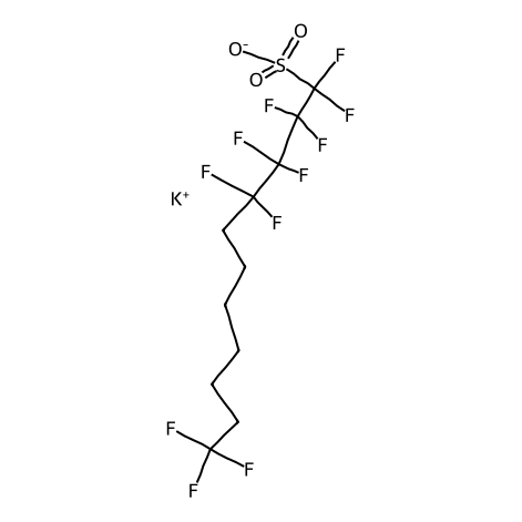 O=S(=O)([O-])C(F)(F)C(F)(F)C(F)(F)C(F)(F)CCCCCCC(F)(F)F.[K+]